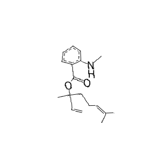 C=CC(C)(CCC=C(C)C)OC(=O)c1ccccc1NC